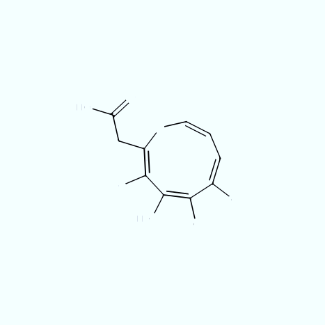 Cc1cccsc(CC(=O)O)c(C)c(C)c1C